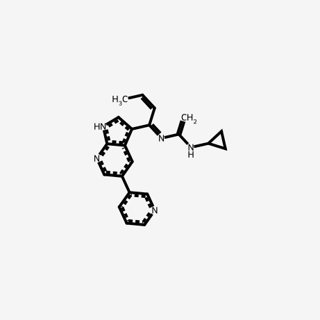 C=C(/N=C(\C=C/C)c1c[nH]c2ncc(-c3cccnc3)cc12)NC1CC1